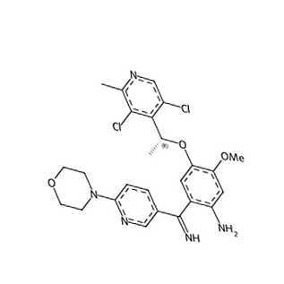 COc1cc(N)c(C(=N)c2ccc(N3CCOCC3)nc2)cc1O[C@H](C)c1c(Cl)cnc(C)c1Cl